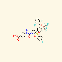 O=C(N[C@H]1CC[C@H](C(=O)O)CC1)N1CC[C@](c2ccc(C(OCc3c(F)cccc3F)(C(F)(F)F)C(F)(F)F)cc2)(S(=O)(=O)c2ccc(F)cc2)C1